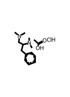 CC(=O)O.CN(C)CC(Cc1ccccc1)N(C)C.Cl